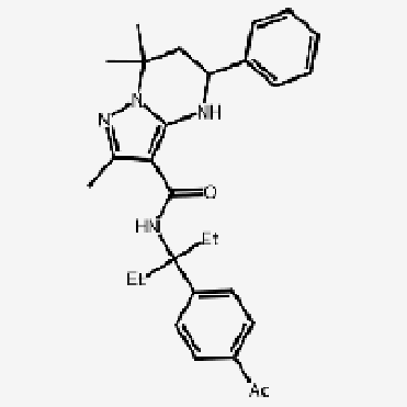 CCC(CC)(NC(=O)c1c(C)nn2c1NC(c1ccccc1)CC2(C)C)c1ccc(C(C)=O)cc1